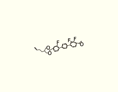 C=CCCC1COC(c2ccc(-c3ccc(-c4ccc(C5CO5)c(F)c4F)cc3)c(F)c2)OC1